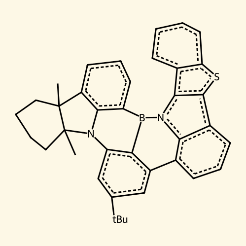 CC(C)(C)c1cc2c3c(c1)N1c4c(cccc4C4(C)CCCCC14C)B3n1c3c-2cccc3c2sc3ccccc3c21